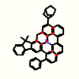 CC1(C)c2ccccc2-c2cc(-c3ccccc3-c3ccccc3)c(N(c3ccc(C4CC5CCC4C5)cc3)c3ccccc3-c3ccccc3C3CCCCC3)cc21